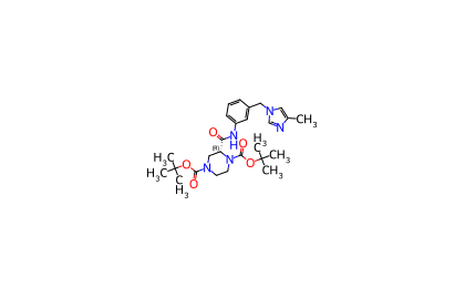 Cc1cn(Cc2cccc(NC(=O)[C@H]3CN(C(=O)OC(C)(C)C)CCN3C(=O)OC(C)(C)C)c2)cn1